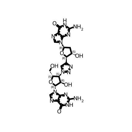 Nc1nc2c(ncn2[C@@H]2O[C@H](CO)[C@@H](n3cc([C@H]4O[C@@H](n5cnc6c(=O)[nH]c(N)nc65)C[C@@H]4O)nn3)[C@H]2O)c(=O)[nH]1